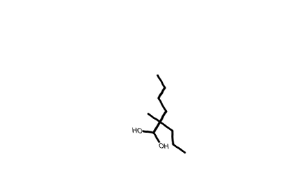 CCCCC(C)(CCC)C(O)O